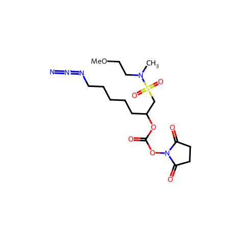 COCCN(C)S(=O)(=O)CC(CCCCCN=[N+]=[N-])OC(=O)ON1C(=O)CCC1=O